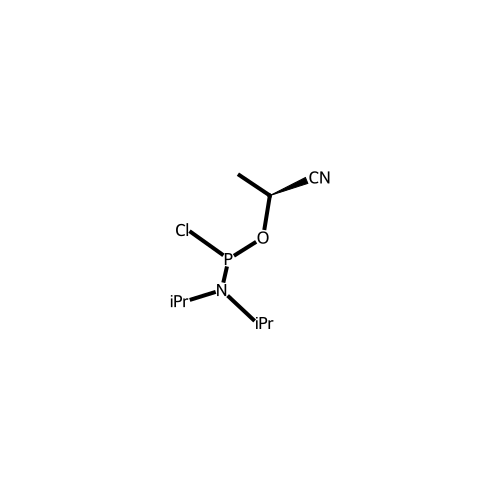 CC(C)N(C(C)C)P(Cl)O[C@@H](C)C#N